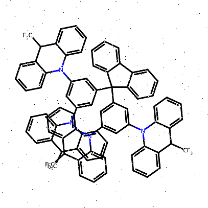 FC(F)(F)C1c2ccccc2N(c2cc(N3c4ccccc4C(C(F)(F)F)c4ccccc43)cc(C3(c4cc(N5c6ccccc6C(C(F)(F)F)c6ccccc65)cc(N5c6ccccc6C(C(F)(F)F)c6ccccc65)c4)c4ccccc4-c4ccccc43)c2)c2ccccc21